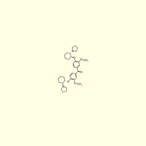 COc1cc(C(=O)c2ccc(O[C@H]3CCCC[C@@H]3N3CCCC3)c(OC)c2)ccc1O[C@H]1CCCC[C@@H]1N1CCCC1